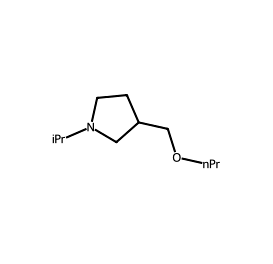 CCCOCC1CCN(C(C)C)C1